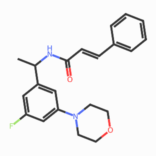 CC(NC(=O)C=Cc1ccccc1)c1cc(F)cc(N2CCOCC2)c1